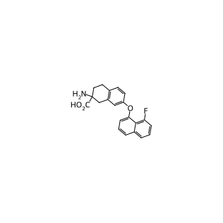 NC1(C(=O)O)CCc2ccc(Oc3cccc4cccc(F)c34)cc2C1